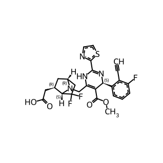 C#Cc1c(F)cccc1[C@@H]1N=C(c2nccs2)NC(CN2[C@@H]3C[C@H](CC(=O)O)[C@H]2C(F)(F)C3)=C1C(=O)OC